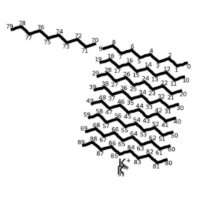 CCCCCCCCCC.CCCCCCCCCC.CCCCCCCCCC.CCCCCCCCCC.CCCCCCCCCC.CCCCCCCCCC.CCCCCCCCCC.CCCCCCCCCC.CCCCCCCCCC.[K+].[K+]